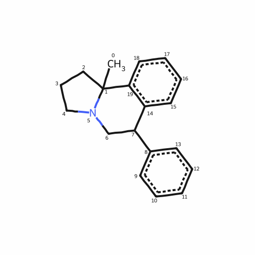 CC12CCCN1CC(c1ccccc1)c1ccccc12